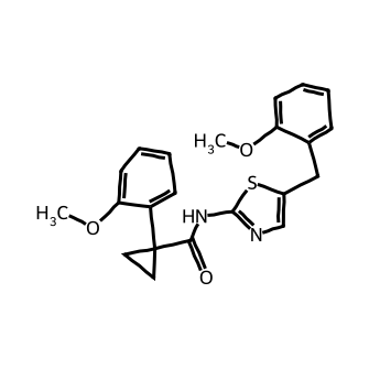 COc1ccccc1Cc1cnc(NC(=O)C2(c3ccccc3OC)CC2)s1